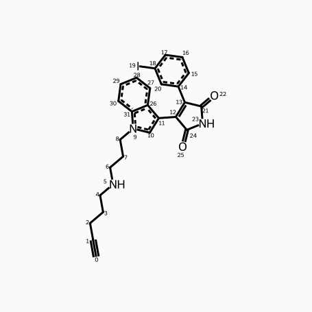 C#CCCCNCCCn1cc(C2=C(c3cccc(I)c3)C(=O)NC2=O)c2ccccc21